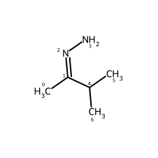 CC(=NN)C(C)C